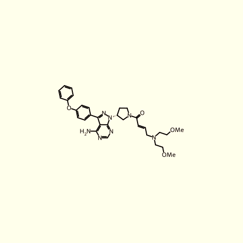 COCCN(C/C=C/C(=O)N1CC[C@@H](n2nc(-c3ccc(Oc4ccccc4)cc3)c3c(N)ncnc32)C1)CCOC